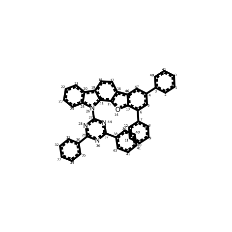 c1ccc(-c2cc(-c3ccccc3)c3oc4c(ccc5c6ccccc6n(-c6nc(-c7ccccc7)nc(-c7ccccc7)n6)c54)c3c2)cc1